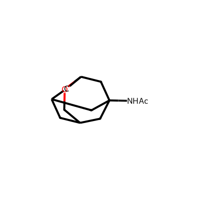 CC(=O)NC12CC3COC(CC(C3)C1)C2